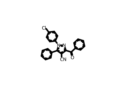 N#Cc1c(C(=O)c2ccccc2)nn(-c2ccc(Cl)cc2)c1-c1ccccc1